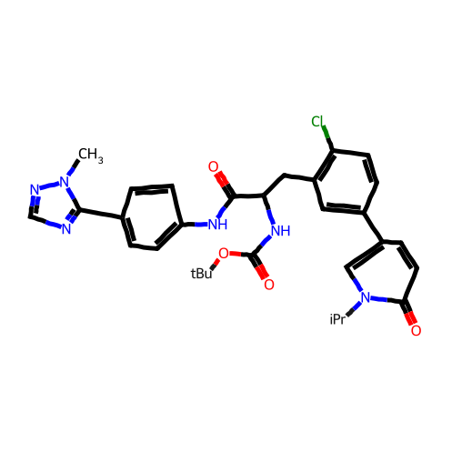 CC(C)n1cc(-c2ccc(Cl)c(CC(NC(=O)OC(C)(C)C)C(=O)Nc3ccc(-c4ncnn4C)cc3)c2)ccc1=O